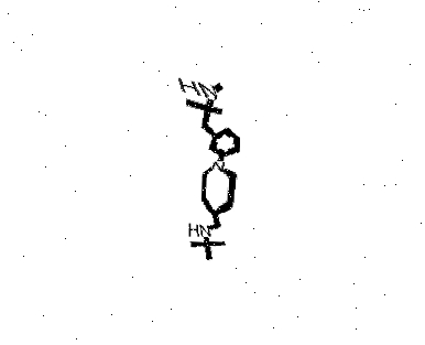 CNC(C)(C)Cc1cccc(N2CCC(CNC(C)(C)C)CC2)c1